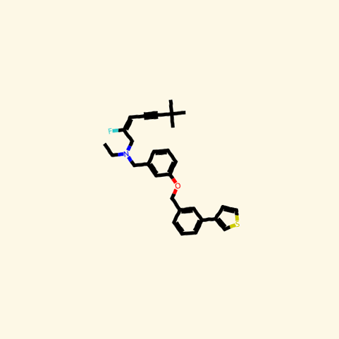 CCN(C/C(F)=C\C#CC(C)(C)C)Cc1cccc(OCc2cccc(-c3ccsc3)c2)c1